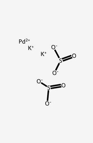 O=S([O-])[O-].O=S([O-])[O-].[K+].[K+].[Pd+2]